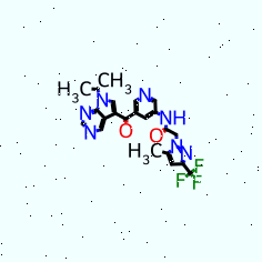 Cc1cc(C(F)(F)F)nn1CC(=O)Nc1cncc(C(=O)c2cn(C(C)C)c3ncncc23)c1